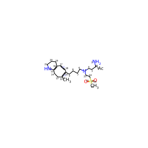 CC(=O)[C@@H](N)CCN(CCCCC1=C(\C)CCC2=C(/C=C\1)CCCN2)CCS(C)(=O)=O